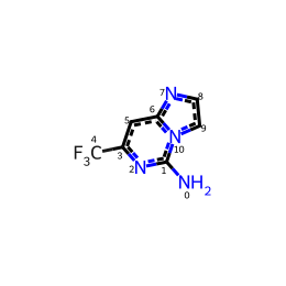 Nc1nc(C(F)(F)F)cc2nccn12